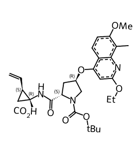 C=C[C@@H]1C[C@]1(NC(=O)[C@@H]1C[C@@H](Oc2cc(OCC)nc3c(C)c(OC)ccc23)CN1C(=O)OC(C)(C)C)C(=O)O